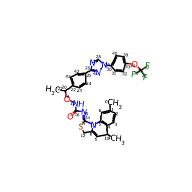 Cc1ccc2c(c1)N1C(=CC2C)CS/C1=N\C(=O)NOC(C)c1ccc(-c2ncn(-c3ccc(OC(F)(F)F)cc3)n2)cc1